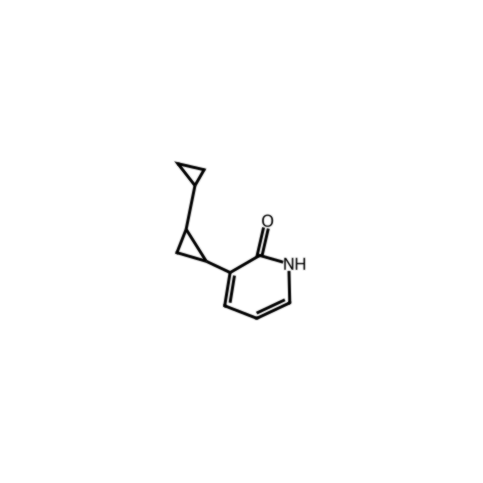 O=c1[nH]cccc1C1CC1C1CC1